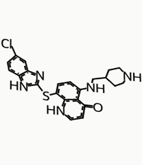 O=c1cc[nH]c2c(Sc3nc4cc(Cl)ccc4[nH]3)ccc(NCC3CCNCC3)c12